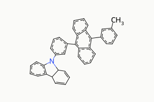 Cc1cccc(-c2c3ccccc3c(-c3cccc(N4c5ccccc5C5C=CC=CC54)c3)c3ccccc23)c1